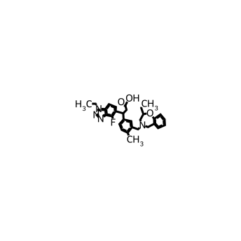 CCC1CN(Cc2cc(C(CC(=O)O)c3ccc4c(nnn4CC)c3F)ccc2C)Cc2ccccc2O1